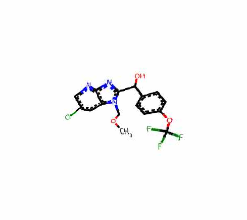 COCn1c(C(O)c2ccc(OC(F)(F)F)cc2)nc2ncc(Cl)cc21